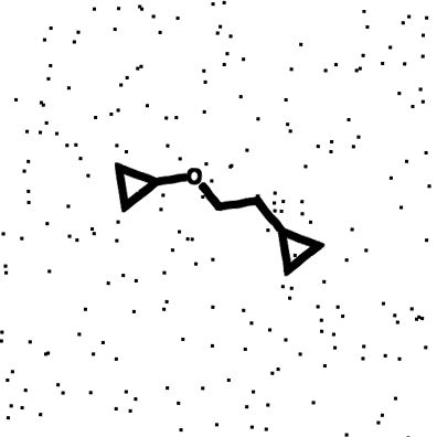 [CH](COC1CC1)C1CC1